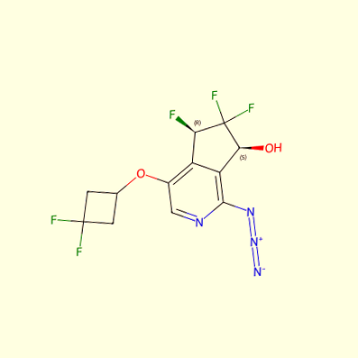 [N-]=[N+]=Nc1ncc(OC2CC(F)(F)C2)c2c1[C@H](O)C(F)(F)[C@@H]2F